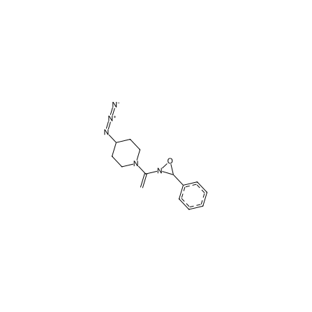 C=C(N1CCC(N=[N+]=[N-])CC1)N1OC1c1ccccc1